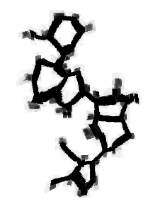 Cc1ncc(-c2ccc3[nH]nc(-c4cc5c(-c6ccccc6F)ccnc5[nH]4)c3n2)n1C